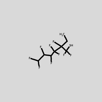 CCC(F)(C(F)(F)S)C(F)(F)C(F)C(F)C(F)F